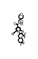 N#Cc1cc(C(=O)NCC2(O)CCOCC2)cc2nc(C(F)(F)F)c(CC3CCC(F)(F)CC3)n12